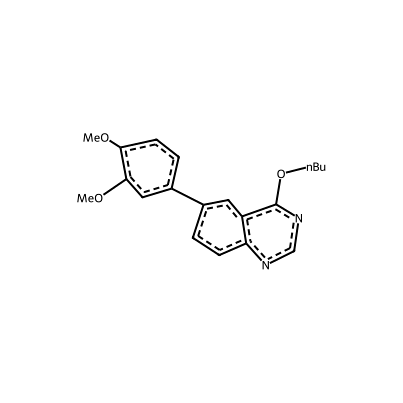 CCCCOc1ncnc2ccc(-c3ccc(OC)c(OC)c3)cc12